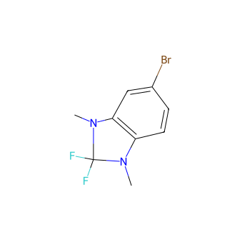 CN1c2ccc(Br)cc2N(C)C1(F)F